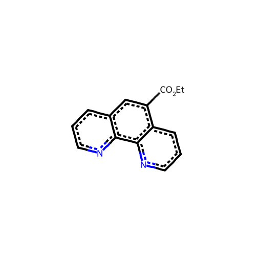 CCOC(=O)c1cc2cccnc2c2ncccc12